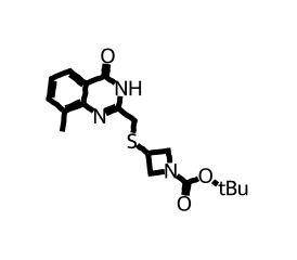 Cc1cccc2c(=O)[nH]c(CSC3CN(C(=O)OC(C)(C)C)C3)nc12